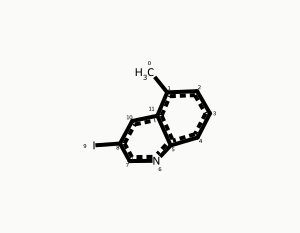 Cc1cccc2ncc(I)cc12